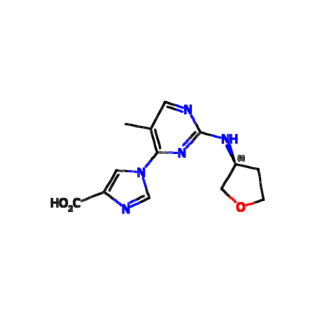 Cc1cnc(N[C@H]2CCOC2)nc1-n1cnc(C(=O)O)c1